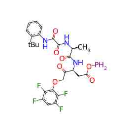 C[C@H](NC(=O)C(=O)Nc1ccccc1C(C)(C)C)C(=O)N[C@@H](CC(=O)OP)C(=O)COc1c(F)c(F)cc(F)c1F